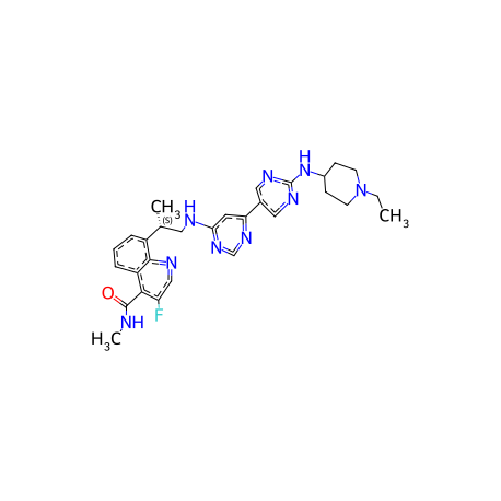 CCN1CCC(Nc2ncc(-c3cc(NC[C@@H](C)c4cccc5c(C(=O)NC)c(F)cnc45)ncn3)cn2)CC1